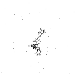 Fc1cccc(CNc2ccc3c(c2)Cc2c(-c4ccccc4)n[nH]c2-3)c1F